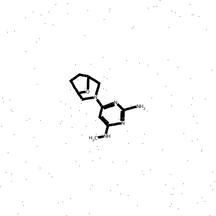 CNc1cc(N2CC3CCC(C2)O3)nc(N)n1